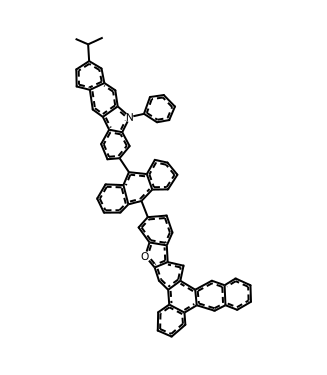 CC(C)c1ccc2cc3c4ccc(-c5c6ccccc6c(-c6ccc7c(c6)oc6cc8c9ccccc9c9cc%10ccccc%10cc9c8cc67)c6ccccc56)cc4n(-c4ccccc4)c3cc2c1